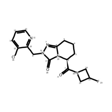 O=C([C@@H]1CCCc2nn(Cc3ncccc3Cl)c(=O)n21)N1CC(F)C1